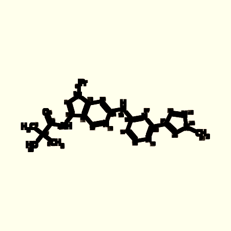 CC(C)n1cc(NC(=O)C(C)(C)O)c2cnc(Nc3ccnc(-c4cnn(C)c4)n3)cc21